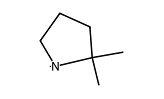 CC1(C)CCC[N]1